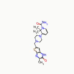 Cc1nc2sc(CN3CCN(C4=CC=CN(C(N)=O)C4(C)C)CC3)cc2[nH]c1=O